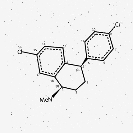 CN[C@@H]1CC[C@H](c2ccc(Cl)cc2)c2ccc(Cl)cc21